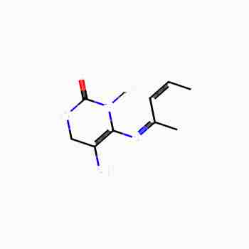 C/C=C\C(C)=N/C1=C(N)CNC(=O)N1C(C)C